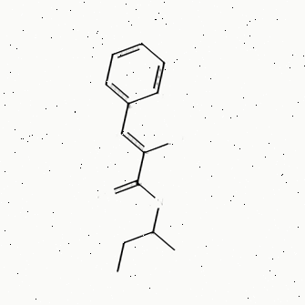 CCC(C)NC(=O)/C(F)=C/c1ccccc1